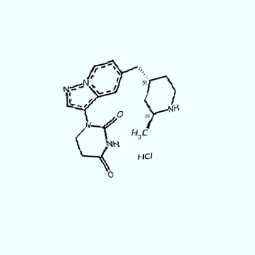 C[C@H]1C[C@H](Cc2ccn3ncc(N4CCC(=O)NC4=O)c3c2)CCN1.Cl